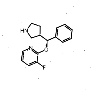 Fc1cccnc1O[C@H](c1ccccc1)C1CCNC1